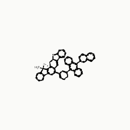 CC1(C)c2ccccc2-c2cc(C3=CCCC(c4c5ccccc5c(-c5ccc6ccccc6c5)c5ccccc45)=C3)c3c(c21)CC1Sc2ccccc2C1=C3